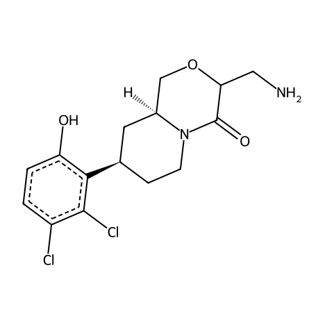 NCC1OC[C@@H]2C[C@H](c3c(O)ccc(Cl)c3Cl)CCN2C1=O